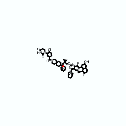 C#Cc1c(F)ccc2cc(O)cc(-c3ncc4c(N5CC6CCC(C5)N6)nc(OCC5(CN6CC7CC(C6)N7CC6CCC7(CC6)CCN(C(=O)c6ccc(Cl)c(N8CCC(=O)NC8=O)c6)CC7)CC5)nc4c3F)c12